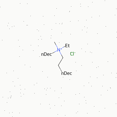 CCCCCCCCCCCC[N+](C)(CC)CCCCCCCCCC.[Cl-]